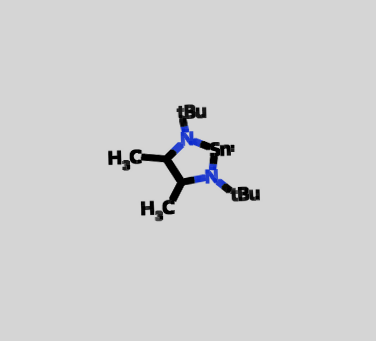 CC1C(C)[N](C(C)(C)C)[Sn][N]1C(C)(C)C